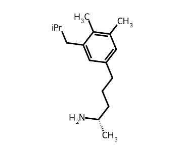 Cc1cc(CCC[C@H](C)N)cc(CC(C)C)c1C